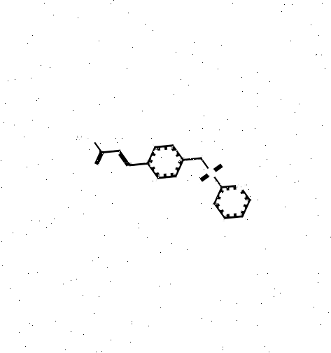 COC(=O)C=Cc1ccc(CS(=O)(=O)c2ccccn2)cc1